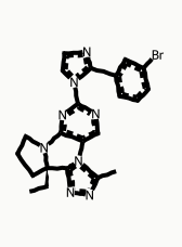 CC[C@@]12CCCN1c1nc(-n3ccnc3-c3cccc(Br)c3)ncc1-n1c(C)nnc12